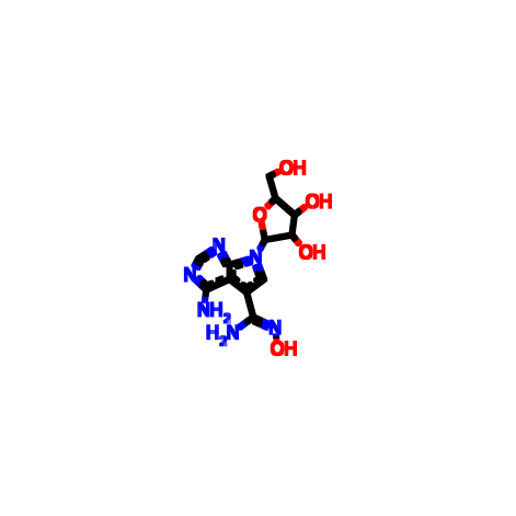 N/C(=N\O)c1cn(C2OC(CO)C(O)C2O)c2ncnc(N)c12